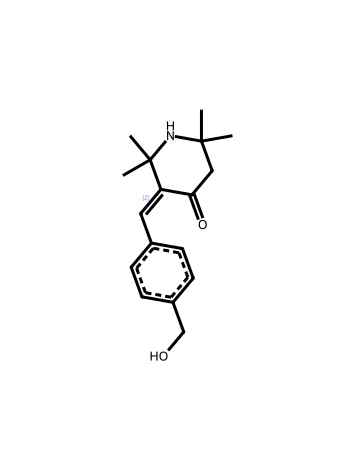 CC1(C)CC(=O)/C(=C\c2ccc(CO)cc2)C(C)(C)N1